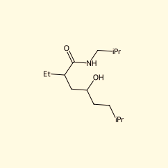 CCC(CC(O)CCC(C)C)C(=O)NCC(C)C